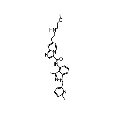 COCCNCCc1ccn2c(C(=O)Nc3cccc4c3c(C)nn4Cc3cccc(C)n3)cnc2c1